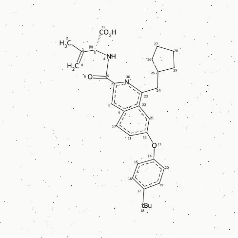 C=C(C)[C@@H](NC(=O)c1cc2ccc(Oc3ccc(C(C)(C)C)cc3)cc2c(CC2CCCC2)n1)C(=O)O